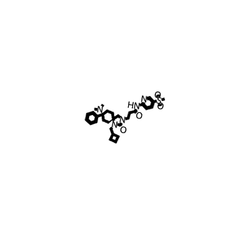 CN(C)[C@]1(c2ccccc2)CC[C@@]2(CC1)CN(CCC(=O)Nc1ccc(S(C)(=O)=O)cn1)C(=O)N2CC1CCC1